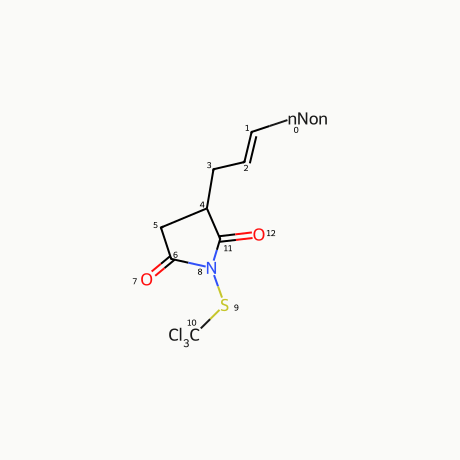 CCCCCCCCCC=CCC1CC(=O)N(SC(Cl)(Cl)Cl)C1=O